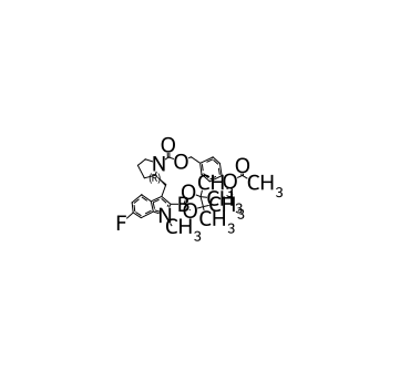 CC(=O)Oc1ccc(COC(=O)N2CCC[C@@H]2Cc2c(B3OC(C)(C)C(C)(C)O3)n(C)c3cc(F)ccc23)cc1